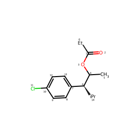 CCC(=O)OC(C)[C@H](c1ccc(Cl)cc1)C(C)C